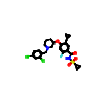 O=C(NS(=O)(=O)C1CC1)c1cc(C2CC2)c(O[C@@H]2CCCN(Cc3ccc(Cl)cc3Cl)C2)cc1F